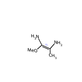 CO/C(N)=C(\C)N